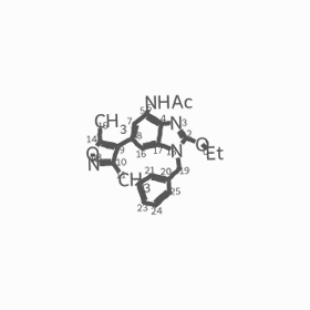 CCOc1nc2c(NC(C)=O)cc(-c3c(C)noc3C)cc2n1Cc1ccccc1